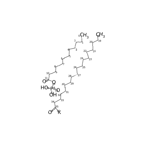 CCCCCCCCCCCC(=O)OP(=O)(O)O.CCCCCCCCCCCCCCCCC[C](=O)[K]